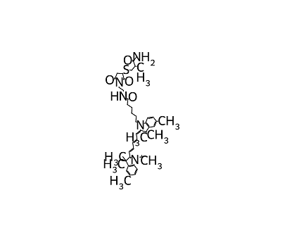 CC[N+]1=C(/C=C/C=C/C=C2/N(CCCCCC(=O)NCCN3C(=O)CC(SCC(C)C(N)=O)C3=O)c3ccc(C)cc3C2(C)C)C(C)(C)c2cc(C)ccc21